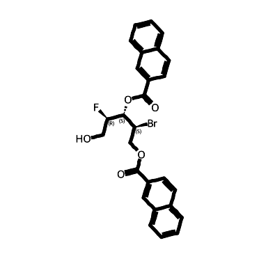 O=C(OC[C@H](Br)[C@@H](OC(=O)c1ccc2ccccc2c1)[C@H](F)CO)c1ccc2ccccc2c1